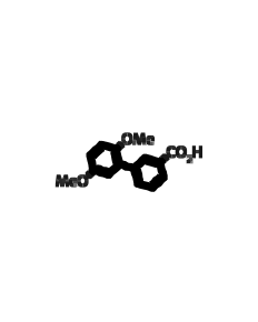 COc1ccc(OC)c(-c2cccc(C(=O)O)c2)c1